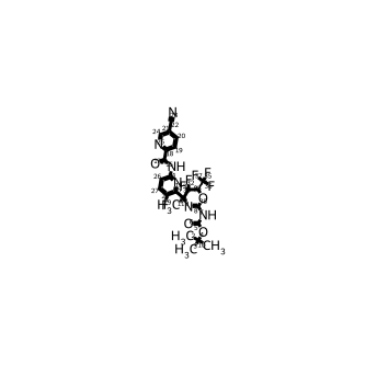 CC(C)(C)OC(=O)NC1=N[C@](C)(c2nc(NC(=O)c3ccc(C#N)cn3)ccc2F)C(F)(F)[C@@H](C(F)(F)F)O1